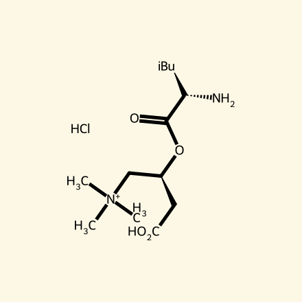 CC[C@H](C)[C@H](N)C(=O)O[C@@H](CC(=O)O)C[N+](C)(C)C.Cl